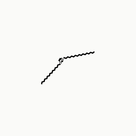 CCCCCCCCCCCCCCCCC[n+]1ccn(CCCCCCCCCCCCCCC)c1